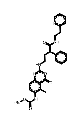 Cc1c(NC(=O)OC(C)(C)C)ccc2nc(NCCC(C(=O)NCCc3ccccn3)c3ccccc3)oc(=O)c12